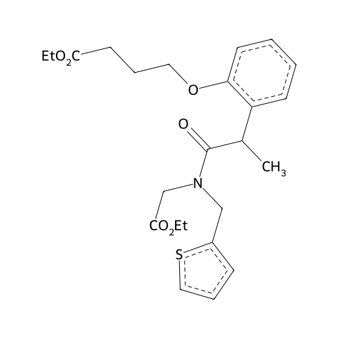 CCOC(=O)CCCOc1ccccc1C(C)C(=O)N(CC(=O)OCC)Cc1cccs1